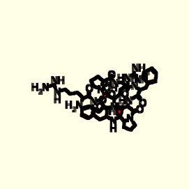 N=C(N)NCCCC(N)C(=O)N1CCCC1C(=O)N1CCCC1C(=O)NCC(=O)NC(Cc1ccccc1)C(=O)NC(CO)C(=O)N1CCCC1C(=O)NC(Cc1ccccc1)C(=O)NC(CCCNC(=N)N)C(=O)O